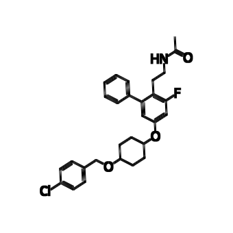 CC(=O)NCCc1c(F)cc(OC2CCC(OCc3ccc(Cl)cc3)CC2)cc1-c1ccccc1